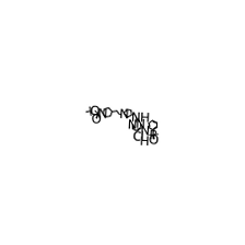 CC(C)(C)OC(=O)N1CCC(CCN2CCC(Nc3ncc(Cl)c(Nc4ccccc4P(C)(C)=O)n3)C2)CC1